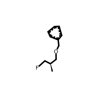 C[C@@H](CF)COCc1ccccc1